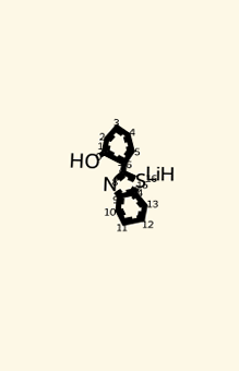 Oc1ccccc1-c1nc2ccccc2s1.[LiH]